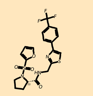 O=C(NCc1nc(-c2ccc(C(F)(F)F)cc2)cs1)[C@@H]1CCCN1S(=O)(=O)c1ccco1